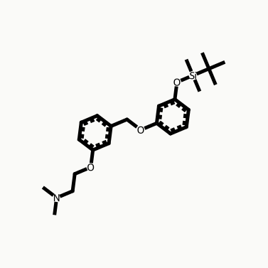 CN(C)CCOc1cccc(COc2cccc(O[Si](C)(C)C(C)(C)C)c2)c1